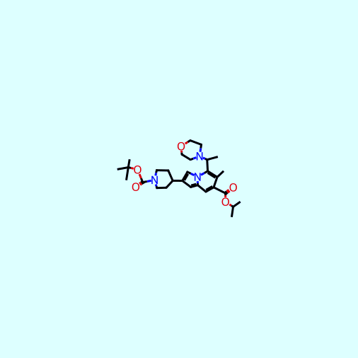 Cc1c(C(=O)OC(C)C)cc2cc(C3CCN(C(=O)OC(C)(C)C)CC3)cn2c1C(C)N1CCOCC1